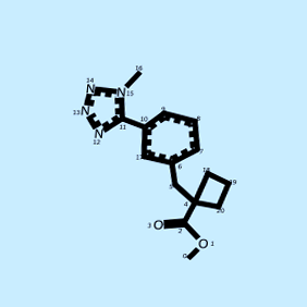 COC(=O)C1(Cc2cccc(-c3nnnn3C)c2)CCC1